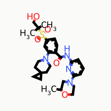 CC1CN(c2cccc(NC(=O)c3ccc(S(=O)(=O)C(C)(C)CO)cc3N3CCC4(CC3)CC4)n2)CCO1